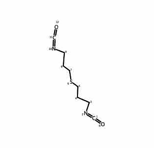 O=C=NCCCSCCCN=C=O